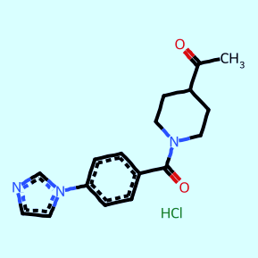 CC(=O)C1CCN(C(=O)c2ccc(-n3ccnc3)cc2)CC1.Cl